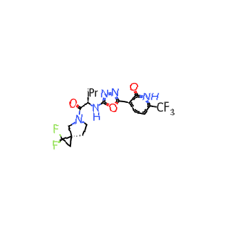 CC(C)[C@@H](Nc1nnc(-c2ccc(C(F)(F)F)[nH]c2=O)o1)C(=O)N1CC[C@]2(C1)CC2(F)F